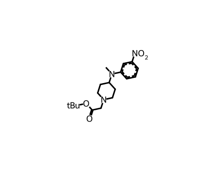 CN(c1cccc([N+](=O)[O-])c1)C1CCN(CC(=O)OC(C)(C)C)CC1